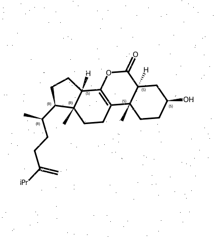 C=C(CC[C@@H](C)[C@H]1CC[C@@H]2C3=C(CC[C@@]21C)[C@@]1(C)CC[C@H](O)C[C@@H]1C(=O)O3)C(C)C